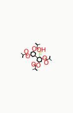 C=C(C)C(=O)Oc1cc(OC(O)C(=C)C)cc(-c2cc(OC(=O)C(=C)C)cc(OC(=O)C(=C)C)c2F)c1